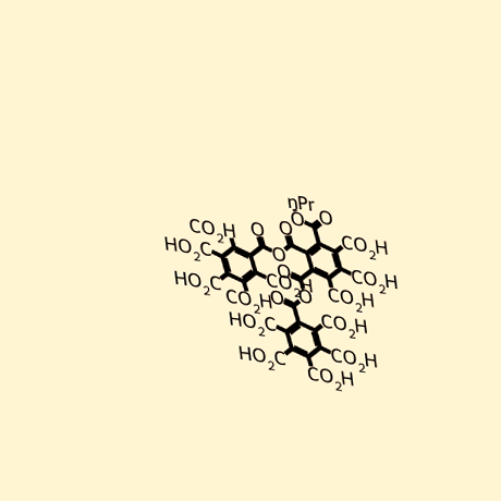 CCCOC(=O)c1c(C(=O)O)c(C(=O)O)c(C(=O)O)c(C(=O)OC(=O)c2c(C(=O)O)c(C(=O)O)c(C(=O)O)c(C(=O)O)c2C(=O)O)c1C(=O)OC(=O)c1c(C(=O)O)c(C(=O)O)c(C(=O)O)c(C(=O)O)c1C(=O)O